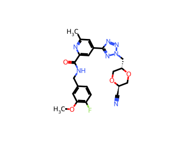 COc1cc(CNC(=O)c2cc(-c3nnn(C[C@H]4CO[C@H](C#N)CO4)n3)cc(C)n2)ccc1F